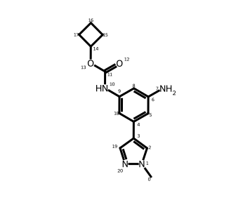 Cn1cc(-c2cc(N)cc(NC(=O)OC3CCC3)c2)cn1